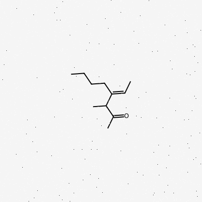 C/C=C(\CCCC)C(C)C(C)=O